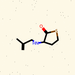 C=C(C)CNC1CCSC1=O